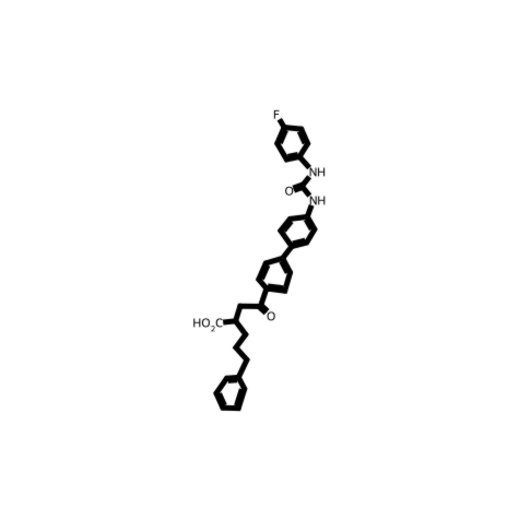 O=C(Nc1ccc(F)cc1)Nc1ccc(-c2ccc(C(=O)CC(CCCc3ccccc3)C(=O)O)cc2)cc1